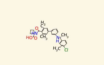 Cc1cc(C(C)Nc2cccc(-c3cc(C)c(C(=O)NC4(C(=O)O)CCC4)c(C)c3)c2)ccc1Cl